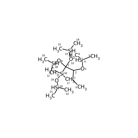 CCC(O[SiH](C)C)C(O[SiH](C)C)(O[SiH](C)C)[Si](C)(C)O[SiH](C)C